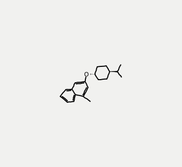 Cc1cc(O[C@H]2CC[C@H](C(C)C)CC2)cc2ccccc12